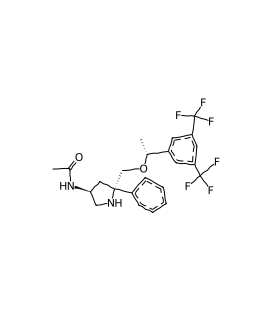 CC(=O)N[C@@H]1CN[C@](CO[C@H](C)c2cc(C(F)(F)F)cc(C(F)(F)F)c2)(c2ccccc2)C1